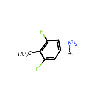 CC(N)=O.O=C(O)c1c(F)cccc1F